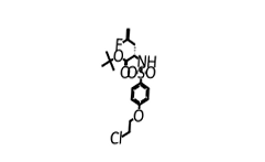 C=C(F)C[C@H](NS(=O)(=O)c1ccc(OCCCl)cc1)C(=O)OC(C)(C)C